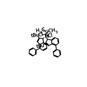 C[SiH](C)[Ti]([Cl])([Cl])([CH]1C(C(C)(C)C)=Cc2c(-c3ccccc3)cccc21)[CH]1C(C(C)(C)C)=Cc2c(-c3ccccc3)cccc21